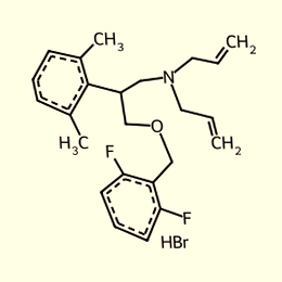 Br.C=CCN(CC=C)CC(COCc1c(F)cccc1F)c1c(C)cccc1C